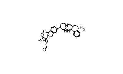 CNC(=O)C(CCC=O)N1Cc2cc(C3CCN(C/C(=C/N)C(=N)c4ccccc4)CC3)ccc2C1=O